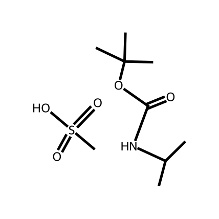 CC(C)NC(=O)OC(C)(C)C.CS(=O)(=O)O